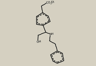 CCOC(=O)Cc1ccc(C(CO)NCCc2ccccc2)cc1